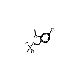 COc1cc(Cl)ccc1COS(C)(=O)=O